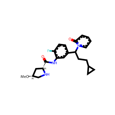 CO[C@H]1CN[C@@H](C(=O)Nc2cc(C(CCC3CC3)n3ccccc3=O)ccc2F)C1